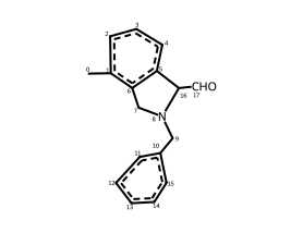 Cc1cccc2c1CN(Cc1ccccc1)C2C=O